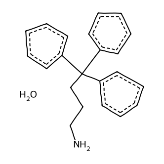 NCCCC(c1ccccc1)(c1ccccc1)c1ccccc1.O